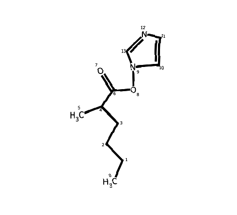 CCCCC(C)C(=O)On1ccnc1